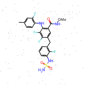 CONC(=O)c1cc(Cc2cccc(NS(N)(=O)=O)c2F)c(F)c(F)c1Nc1ccc(C)cc1F